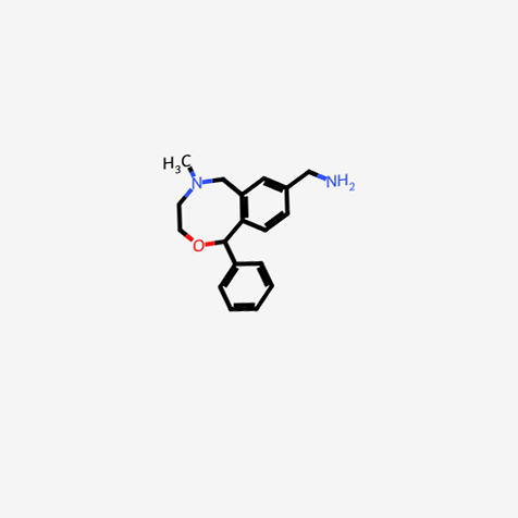 CN1CCOC(c2ccccc2)c2ccc(CN)cc2C1